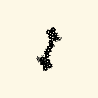 C[Si](C)(C)c1ccc(N(c2cccc(C3(c4ccccc4)c4ccccc4-c4ccccc43)c2)c2ccc3c(c2)oc2cc4cc5c(cc4cc23)oc2cc(N(c3ccc([Si](C)(C)C)cc3)c3cccc(C4(c6ccccc6)c6ccccc6-c6ccccc64)c3)ccc25)cc1